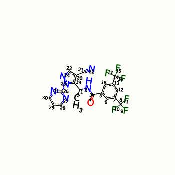 CC(NC(=O)c1cc(C(F)(F)F)cc(C(F)(F)F)c1)c1c(C#N)cnn1-c1ncccn1